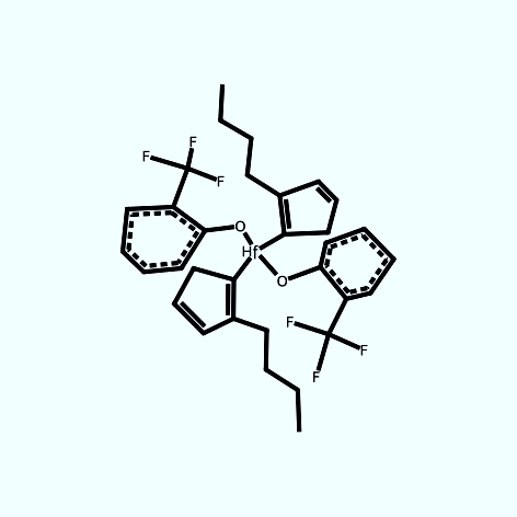 CCCCC1=[C]([Hf]([O]c2ccccc2C(F)(F)F)([O]c2ccccc2C(F)(F)F)[C]2=C(CCCC)C=CC2)CC=C1